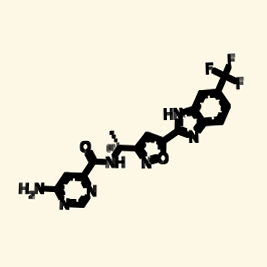 C[C@@H](NC(=O)c1cc(N)ncn1)c1cc(-c2nc3ccc(C(F)(F)F)cc3[nH]2)on1